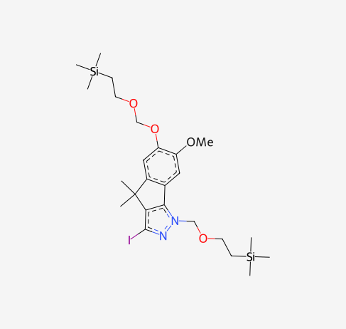 COc1cc2c(cc1OCOCC[Si](C)(C)C)C(C)(C)c1c(I)nn(COCC[Si](C)(C)C)c1-2